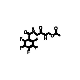 CC(=O)OCNC(=O)CN(C)C(=O)c1c(F)c(F)c(F)c(F)c1F